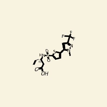 CC[C@@H](CC(=O)O)NS(=O)(=O)c1ccc(-c2cc(C(F)(F)F)nn2C)s1